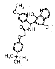 COc1ccc(C(NC(=O)COc2ccc(C(C)(C)C)cc2)c2cc(Cl)c3cccnc3c2O)cc1